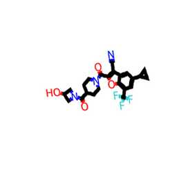 N#Cc1c(C(=O)N2CCC(C(=O)N3CC(O)C3)CC2)oc2c(C(F)(F)F)cc(C3CC3)cc12